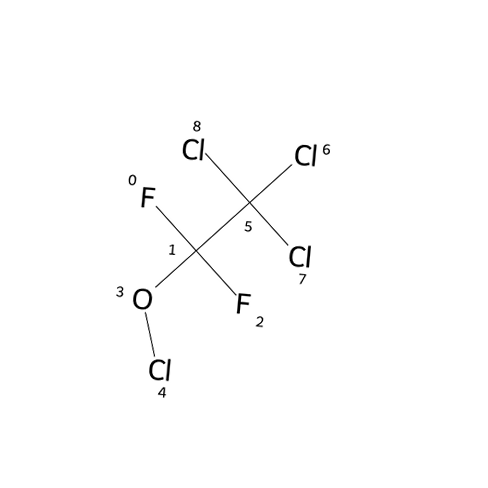 FC(F)(OCl)C(Cl)(Cl)Cl